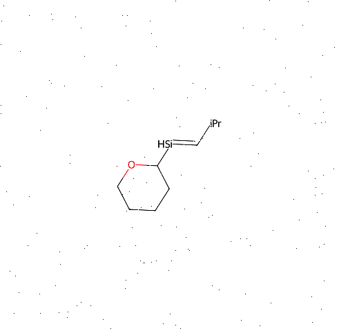 CC(C)C=[SiH]C1CCCCO1